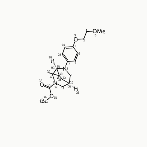 COCCOc1ccc(N2C[C@H]3CN(C(=O)OC(C)(C)C)C[C@@H]2C(C)(C)C3)cc1